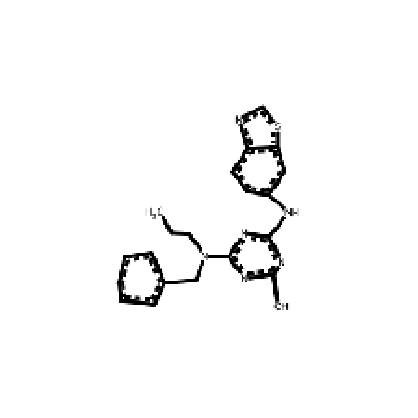 CCCN(Cc1ccccc1)c1nc(O)nc(Nc2ccc3ncsc3c2)n1